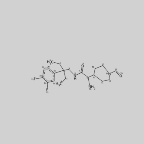 CCC(CC)(CNC(=O)C(N)C1CCN(C=O)CC1)c1ccc(F)c(F)c1